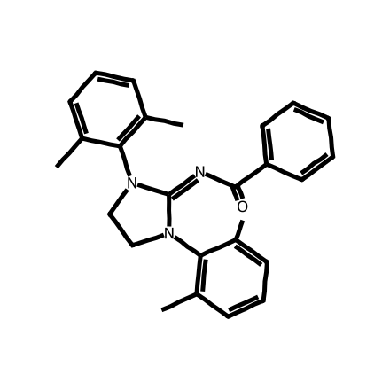 Cc1cccc(C)c1N1CCN(c2c(C)cccc2C)C1=NC(=O)c1ccccc1